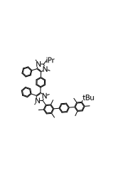 Cc1cc(C)c(C2N(C)C(c3ccccc3)=C(c3ccc(C4=C(c5ccccc5)N(C)C(C(C)C)N4C)cc3)N2C)c(C)c1-c1ccc(-c2c(C)cc(C)c(C(C)(C)C)c2C)cc1